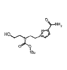 CC(C)(C)OC(=O)N(CCO)CCn1ccc(C(N)=O)n1